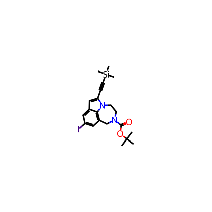 CC(C)(C)OC(=O)N1CCn2c(C#C[Si](C)(C)C)cc3cc(I)cc(c32)C1